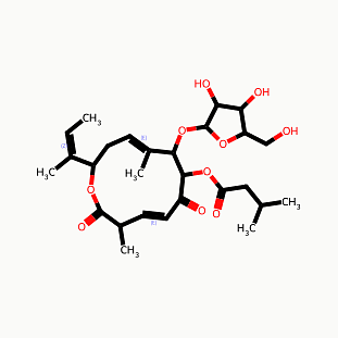 C/C=C(/C)C1C/C=C(\C)C(OC2OC(CO)C(O)C2O)C(OC(=O)CC(C)C)C(=O)/C=C/C(C)C(=O)O1